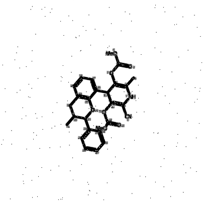 COC(=O)OC1=C(C)NC(C#N)=C(OC(=O)OC)C1c1cccc2c1OC(c1ccccc1)C(C)C2